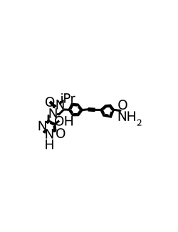 CC(C)N1C(=O)N(Cc2nc[nH]c(=O)c2O)CC1c1ccc(C#Cc2ccc(C(N)=O)cc2)cc1